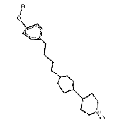 CCC[SiH]1CCC(C2CCC(CCCCc3ccc(OCC)cc3)CC2)CC1